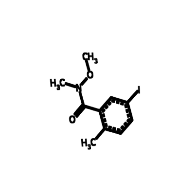 CON(C)C(=O)c1cc(I)ccc1C